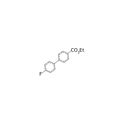 CCOC(=O)c1ccc(-c2ccc(F)cc2)cc1